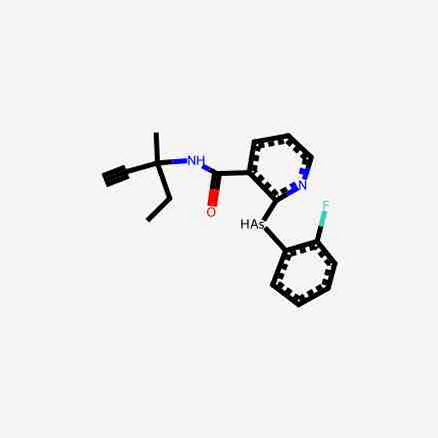 C#CC(C)(CC)NC(=O)c1cccnc1[AsH]c1ccccc1F